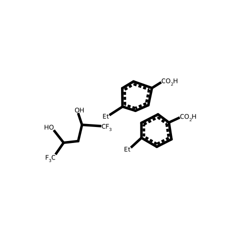 CCc1ccc(C(=O)O)cc1.CCc1ccc(C(=O)O)cc1.OC(CC(O)C(F)(F)F)C(F)(F)F